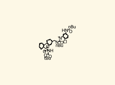 CCCCC(=O)Nc1ccc(Cl)c(N(C)C(=O)N(CCCC)Cc2ccc(-c3ccccc3S(=O)(=O)NC(=O)OC(C)(C)C)cc2)c1